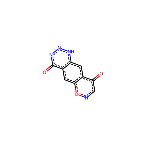 O=c1nn[nH]c2cc3c(=O)cnoc3cc12